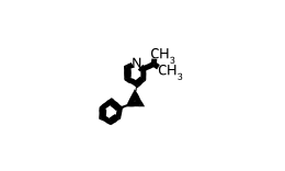 CC(C)c1cc([C@@H]2C[C@H]2c2ccccc2)ccn1